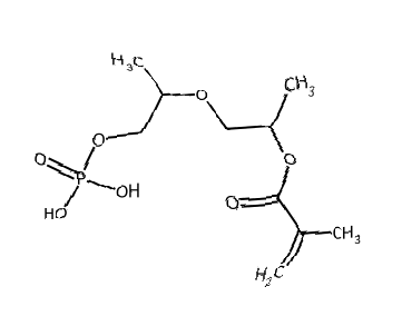 C=C(C)C(=O)OC(C)COC(C)COP(=O)(O)O